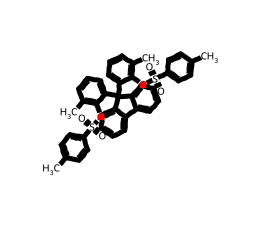 Cc1ccc(S(=O)(=O)Oc2c(C)cccc2C2(c3cccc(C)c3OS(=O)(=O)c3ccc(C)cc3)c3ccccc3-c3ccccc32)cc1